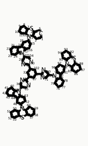 c1ccc2c(c1)Sc1ccccc1N2c1ccc2c(c1)c1ccccc1n2-c1cnc(-c2cc(-c3ncc(-n4c5ccccc5c5cc(N6c7ccccc7Sc7ccccc76)ccc54)cn3)cc(-c3ncc(-n4c5ccccc5c5cc(N6c7ccccc7Sc7ccccc76)ccc54)cn3)c2)nc1